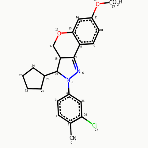 N#Cc1ccc(N2N=C3c4ccc(OC(=O)O)cc4OCC3C2C2CCCC2)cc1Cl